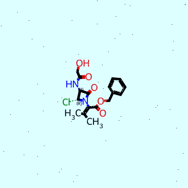 CC(C)=C(C(=O)OCc1ccccc1)N1C(=O)[C@@H](NC(=O)CO)[C@H]1Cl